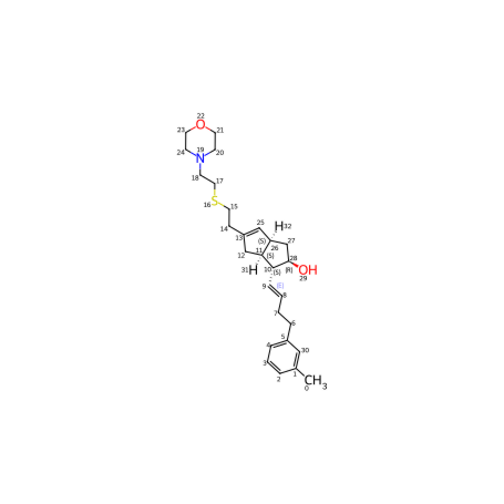 Cc1cccc(CC/C=C/[C@@H]2[C@H]3CC(CCSCCN4CCOCC4)=C[C@H]3C[C@H]2O)c1